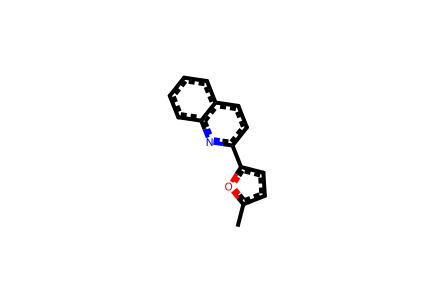 Cc1ccc(-c2ccc3ccccc3n2)o1